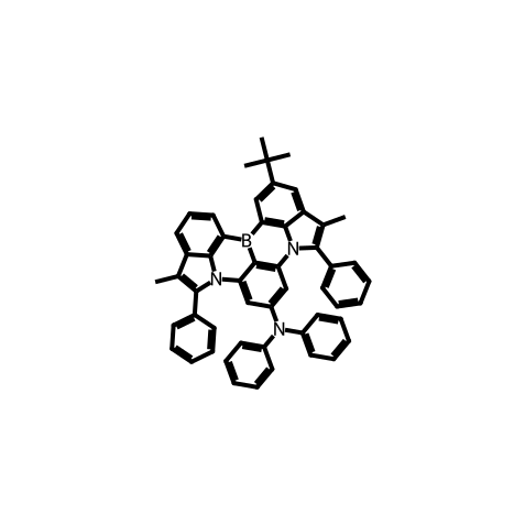 Cc1c(-c2ccccc2)n2c3c(cccc13)B1c3c-2cc(N(c2ccccc2)c2ccccc2)cc3-n2c(-c3ccccc3)c(C)c3cc(C(C)(C)C)cc1c32